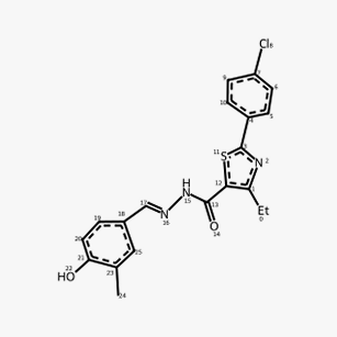 CCc1nc(-c2ccc(Cl)cc2)sc1C(=O)N/N=C/c1ccc(O)c(C)c1